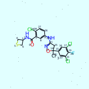 O=C(NC1CSC1)c1cc(NC2=NOC(c3cc(Cl)c(F)c(Cl)c3)(C(F)(F)F)C2)ccc1Cl